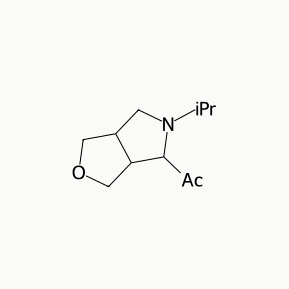 CC(=O)C1C2COCC2CN1C(C)C